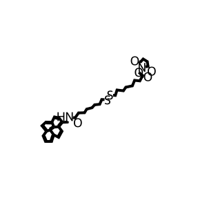 O=C(CCCCCCCSSCCCCCCCC(=O)ON1C(=O)CCC1=O)NCc1ccc2ccc3cccc4ccc1c2c34